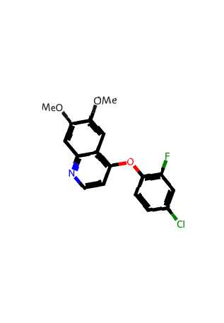 COc1cc2nccc(Oc3ccc(Cl)cc3F)c2cc1OC